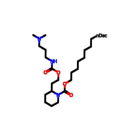 CCCCCCCCCCCCCCCCCCOC(=O)N1CCCCC1CCOC(=O)NCCCN(C)C